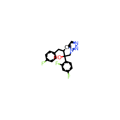 CC(Cc1ccc(F)cc1)C(O)(Cn1ccnn1)c1ccc(F)cc1F